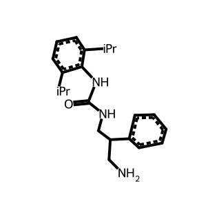 CC(C)c1cccc(C(C)C)c1NC(=O)NCC(CN)c1ccccc1